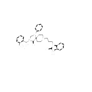 O=C(O)c1ccccc1CN1CN(c2ccccc2)C2(CCN(CCCn3c(=O)[nH]c4ccccc43)CC2)C1=O